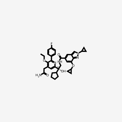 CCOc1c(CC(N)=O)cc([C@@](O)(CNC(=O)c2cc(OC3CC3)c3nn(C4CC4)cc3c2)C2CCCC2)nc1-c1ccc(F)cc1